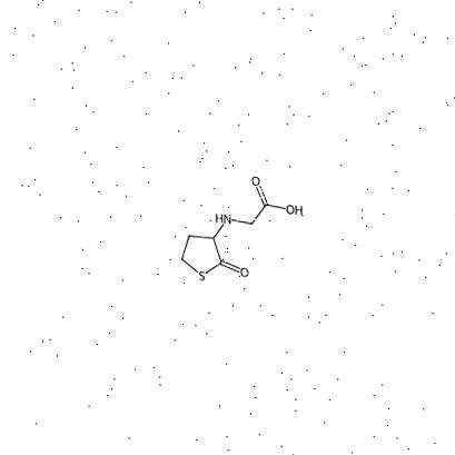 O=C(O)CNC1CCSC1=O